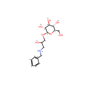 OC[C@H]1O[C@@H](OCC(O)CNCc2ccccc2)[C@H](O)[C@@H](O)[C@@H]1O